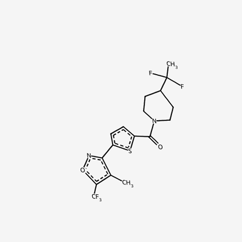 Cc1c(-c2ccc(C(=O)N3CCC(C(C)(F)F)CC3)s2)noc1C(F)(F)F